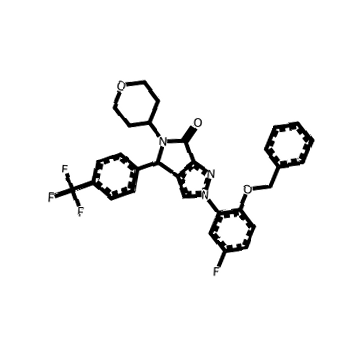 O=C1c2nn(-c3cc(F)ccc3OCc3ccccc3)cc2C(c2ccc(C(F)(F)F)cc2)N1C1CCOCC1